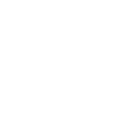 CCCCCCCC/C=C\CCCCCCCC(=O)[O-].CCCCCCCC/C=C\CCCCCCCC(=O)[O-].CCCCCCCC/C=C\CCCCCCCC(=O)[O-].[OH][Ti+3]